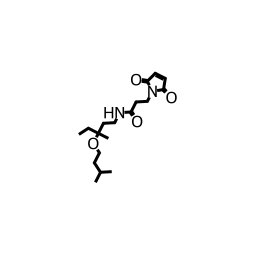 CCC(C)(CCNC(=O)CCN1C(=O)C=CC1=O)OCCC(C)C